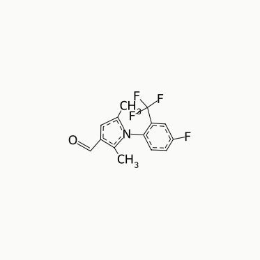 Cc1cc(C=O)c(C)n1-c1ccc(F)cc1C(F)(F)F